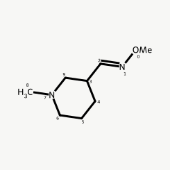 CO/N=C/C1CCCN(C)C1